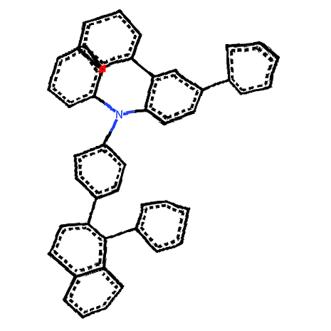 c1ccc(-c2ccc(N(c3ccccc3)c3ccc(-c4ccc5ccccc5c4-c4ccccc4)cc3)c(-c3ccccc3)c2)cc1